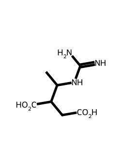 CC(NC(=N)N)C(CC(=O)O)C(=O)O